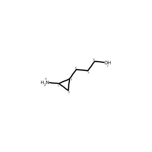 NC1CC1CCCO